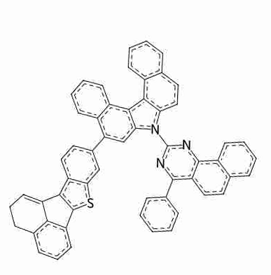 C1=C2c3c(cccc3-c3sc4cc(-c5cc6c(c7ccccc57)c5c7ccccc7ccc5n6-c5nc(-c6ccccc6)c6ccc7ccccc7c6n5)ccc4c32)CC1